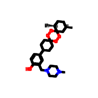 CC(C)[C@@H]1CC[C@@H](C)CC12OOC1(CCC(c3ccc(O)c(CN4CCN(C)CC4)c3)CC1)OO2